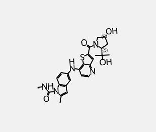 CNC(=O)n1c(C)cc2cc(Nc3ccnc4cc(C(=O)N5C[C@H](O)C[C@H]5C(C)(C)O)sc34)ccc21